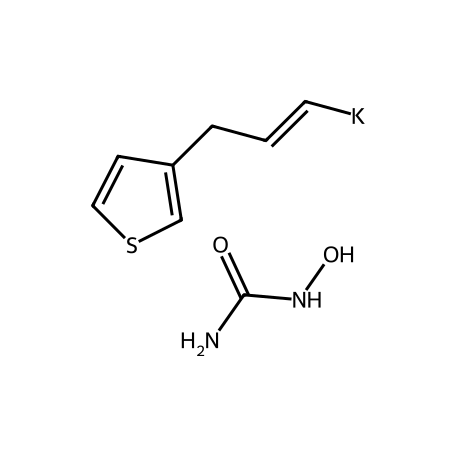 NC(=O)NO.[K][CH]=CCc1ccsc1